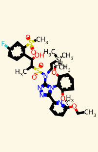 CCOc1cccc(-c2nnc(N(CC[Si](C)(C)C)S(=O)(=O)C(C)C(O)c3ccc(F)cc3S(C)(=O)=O)n2-c2c(OC)cccc2OC)n1